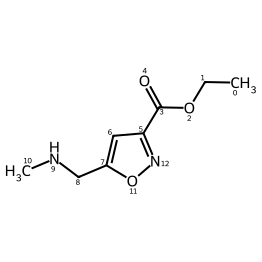 CCOC(=O)c1cc(CNC)on1